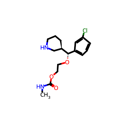 CNC(=O)OCCO[C@@H](c1cccc(Cl)c1)[C@@H]1CCCNC1